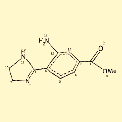 COC(=O)c1ccc(C2=NCCN2)c(N)c1